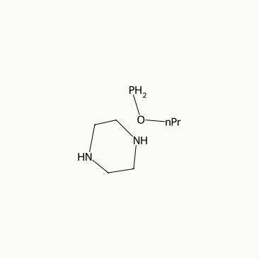 C1CNCCN1.CCCOP